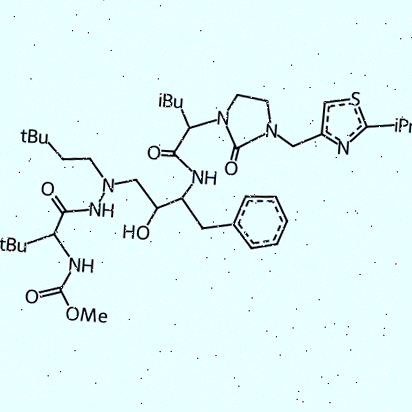 CCC(C)C(C(=O)NC(Cc1ccccc1)C(O)CN(CCC(C)(C)C)NC(=O)C(NC(=O)OC)C(C)(C)C)N1CCN(Cc2csc(C(C)C)n2)C1=O